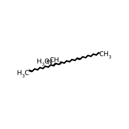 C/C=C/CCCCCCC(/C=C/CCCCCCC/C=C/CCCCCCCC)N(C)C